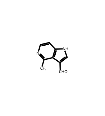 O=Cc1c[nH]c2ccnc(C(F)(F)F)c12